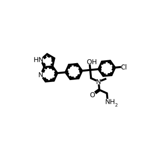 CN(CC(O)(c1ccc(Cl)cc1)c1ccc(-c2ccnc3[nH]ccc23)cc1)C(=O)CN